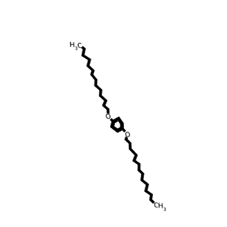 CCCCCCCCCCCCCCOc1ccc(OCCCCCCCCCCCCCC)cc1